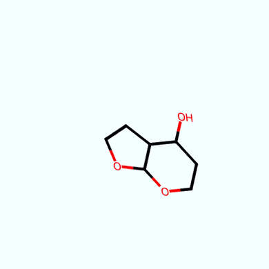 OC1CCOC2OCCC12